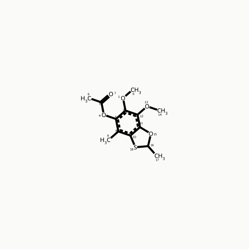 COc1c(OC(C)=O)c(C)c2c(c1OC)OC(C)S2